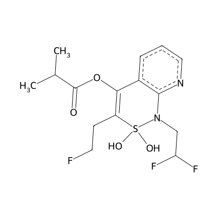 CC(C)C(=O)OC1=C(CCF)S(O)(O)N(CC(F)F)c2ncccc21